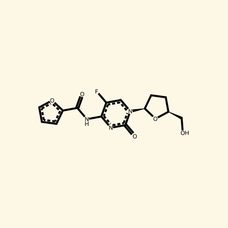 O=C(Nc1nc(=O)n([C@H]2CC[C@@H](CO)O2)cc1F)c1ccco1